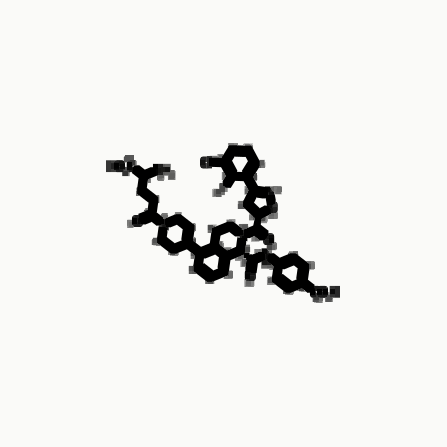 NC(CCC(=O)N1CC=C(c2cccc3c2CCN(C(=O)[C@H]2CC(c4cccc(Cl)c4F)=NO2)[C@@H]3C(=O)Nc2ccc(C(=O)O)cc2)CC1)C(=O)O